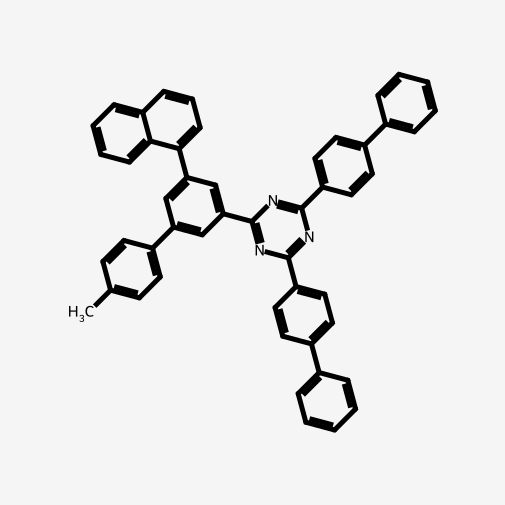 Cc1ccc(-c2cc(-c3nc(-c4ccc(-c5ccccc5)cc4)nc(-c4ccc(-c5ccccc5)cc4)n3)cc(-c3cccc4ccccc34)c2)cc1